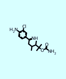 CC(CC(=N)c1ccc(N)c(Cl)c1)C(C)C(C)(C)OC(N)=O